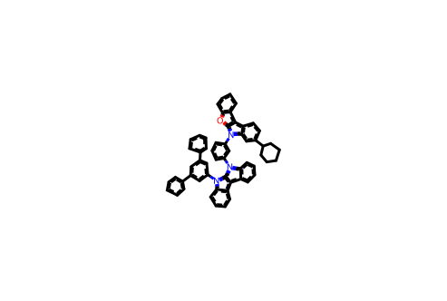 c1ccc(-c2cc(-c3ccccc3)cc(-n3c4ccccc4c4c5ccccc5n(-c5cccc(-n6c7cc(C8CCCCC8)ccc7c7c8ccccc8oc76)c5)c43)c2)cc1